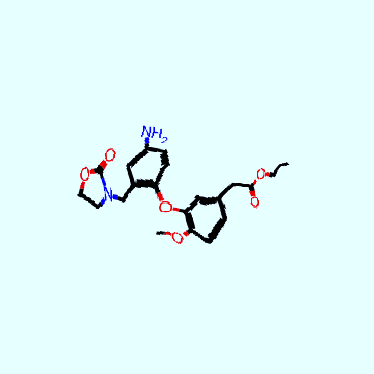 CCOC(=O)Cc1ccc(OC)c(Oc2ccc(N)cc2CN2CCOC2=O)c1